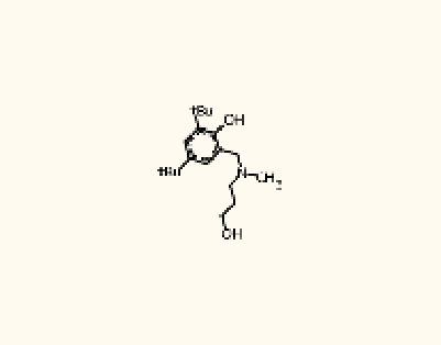 CN(CCCO)Cc1cc(C(C)(C)C)cc(C(C)(C)C)c1O